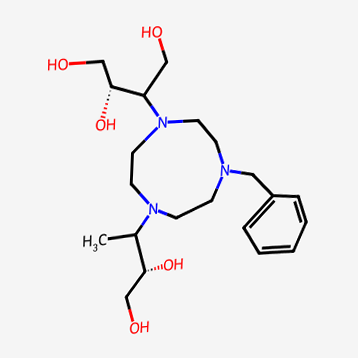 CC([C@H](O)CO)N1CCN(Cc2ccccc2)CCN(C(CO)[C@H](O)CO)CC1